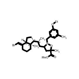 CCOc1cc(C)cc(CN2OC(C)(C(=O)OC)CC2C[C@@H](C)[C@H]2CC[C@H]3/C(=C/Br)CCC[C@]23C)c1